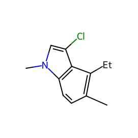 CCc1c(C)ccc2c1c(Cl)cn2C